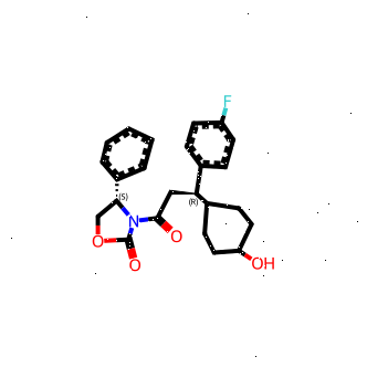 O=C(C[C@@H](c1ccc(F)cc1)C1CCC(O)CC1)N1C(=O)OC[C@@H]1c1ccccc1